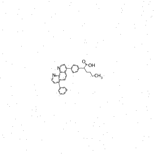 CCCCC(C(=O)O)c1ccc(-c2ccnc3c2ccc2c(-c4ccccc4)ccnc23)cc1